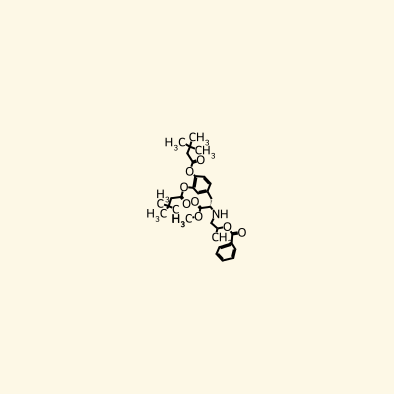 COC(=O)[C@H](Cc1ccc(OC(=O)CC(C)(C)C)c(OC(=O)CC(C)(C)C)c1)NCC(C)OC(=O)c1ccccc1